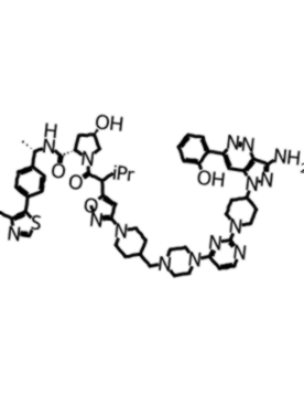 Cc1ncsc1-c1ccc([C@H](C)NC(=O)[C@@H]2C[C@@H](O)CN2C(=O)C(c2cc(N3CCC(CN4CCN(c5ccnc(N6CCC(n7nc(N)c8nnc(-c9ccccc9O)cc87)CC6)n5)CC4)CC3)no2)C(C)C)cc1